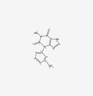 CCCCn1c(=O)c2[nH]cnc2n(-c2cccc([N+](=O)[O-])c2)c1=O